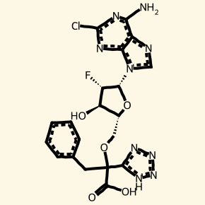 Nc1nc(Cl)nc2c1ncn2[C@@H]1O[C@H](COC(Cc2ccccc2)(C(=O)O)c2nnn[nH]2)[C@@H](O)[C@@H]1F